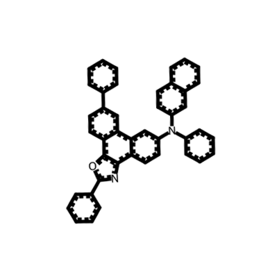 c1ccc(-c2ccc3c(c2)c2cc(N(c4ccccc4)c4ccc5ccccc5c4)ccc2c2nc(-c4ccccc4)oc32)cc1